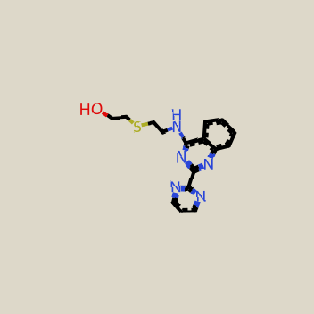 OCCSCCNc1nc(-c2ncccn2)nc2ccccc12